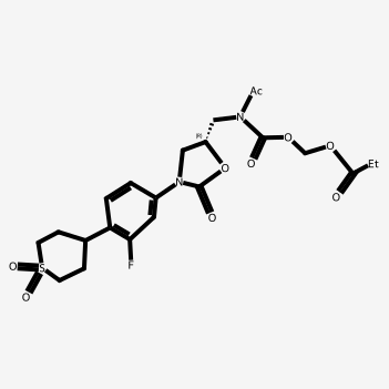 CCC(=O)OCOC(=O)N(C[C@H]1CN(c2ccc(C3CCS(=O)(=O)CC3)c(F)c2)C(=O)O1)C(C)=O